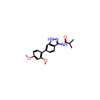 COc1ccc(-c2ccc3c(NC(=O)C(C)C)n[nH]c3c2)c(OC)c1